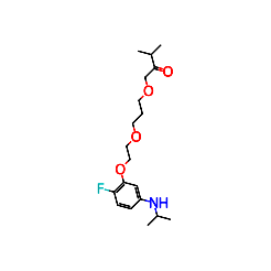 CC(C)Nc1ccc(F)c(OCCOCCCOCC(=O)C(C)C)c1